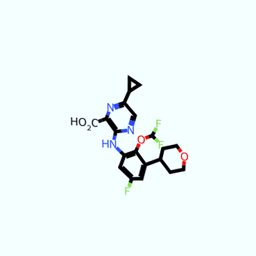 O=C(O)c1nc(C2CC2)cnc1Nc1cc(F)cc(C2CCOCC2)c1OC(F)F